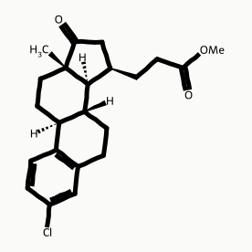 COC(=O)CC[C@@H]1CC(=O)[C@@]2(C)CC[C@@H]3c4ccc(Cl)cc4CC[C@H]3[C@H]12